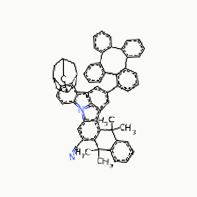 CC1(C)c2ccccc2C(C)(C)c2c1c(C#N)cc1c2c2cc(-c3cccc4c3-c3ccccc3-c3ccccc3-c3ccccc3-4)cc3c4c5c(ccc4n1c32)C1CC2CC(C1)CC5C2